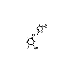 Cc1ccc(NCc2ccc(Br)o2)cc1O